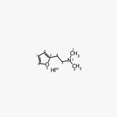 CN(C)CCc1ccco1.I